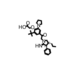 CCC[C@H]1CN(CC(=O)c2cc(N3CCCC3)c(OCC(=O)O)c(C(C)(C)C)c2)C(=N)[C@@H]1c1ccccc1